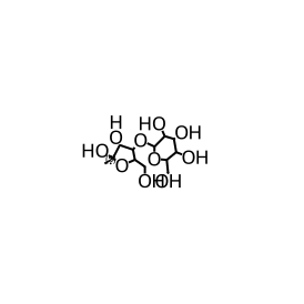 [CH2][C@]1(O)OC(CO)C(OC2OC(CO)C(O)C(O)C2O)C1O